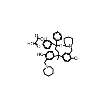 CC(CCC(O)(c1ccccc1)c1ccccc1)(c1ccc(O)c(CN2CCCCCC2)c1)c1ccc(O)c(CN2CCCCCC2)c1.O=C(O)C(=O)O